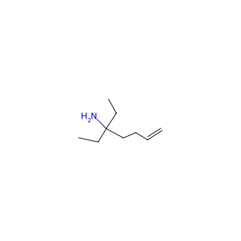 C=CCCC(N)(CC)CC